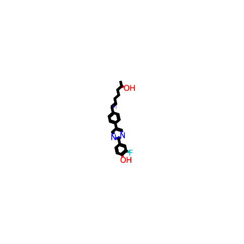 CC(O)CCC/C=C/c1ccc(-c2cnc(-c3ccc(O)c(F)c3)nc2)cc1